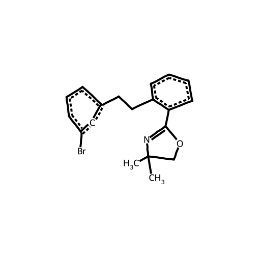 CC1(C)COC(c2ccccc2CCc2cccc(Br)c2)=N1